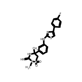 CN1C(=N)NC(C)(c2cccc(Nc3nc(-c4ccc(F)cc4)cs3)c2)CS1(=O)=O